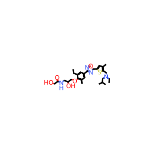 CCc1cc(-c2noc(-c3cc(C)c(CN(CC)CC(C)C)s3)n2)cc(C)c1OCC(O)CNC(=O)CO